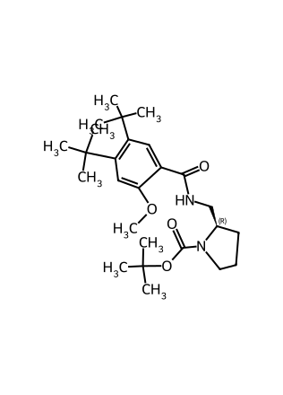 COc1cc(C(C)(C)C)c(C(C)(C)C)cc1C(=O)NC[C@H]1CCCN1C(=O)OC(C)(C)C